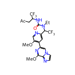 CCN(C(=O)NC(CC(C)=O)C(F)(F)F)C(c1cc(-c2cn3ccnc3c(OC)n2)c(OC)cn1)C(F)(F)F